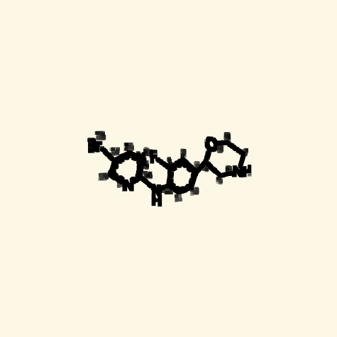 Fc1cc(C2CNCCO2)ccc1Nc1ncc(Br)cn1